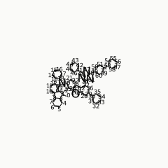 CC1(C)c2ccccc2-c2ccc3c4ccccc4n(-c4ccc5c(c4)oc4cc(-c6ccccc6)cc(-c6nc(-c7ccccc7)nc(-c7ccc(-c8ccccc8)cc7)n6)c45)c3c21